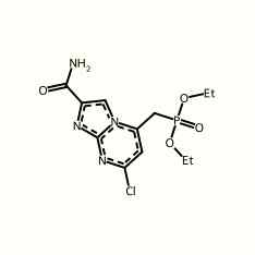 CCOP(=O)(Cc1cc(Cl)nc2nc(C(N)=O)cn12)OCC